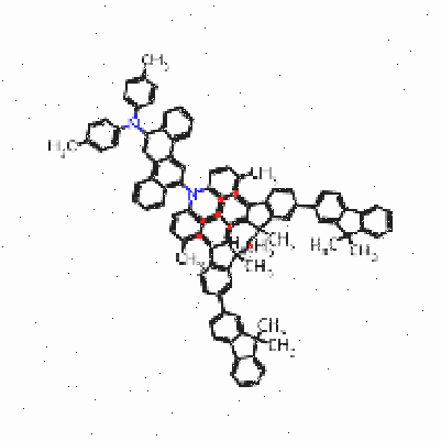 Cc1ccc(N(c2ccc(C)cc2)c2cc3c4ccccc4c(N(c4ccc(C)cc4-c4ccc5c(c4)C(C)(C)c4cc(-c6ccc7c(c6)C(C)(C)c6ccccc6-7)ccc4-5)c4ccc(C)cc4-c4ccc5c(c4)C(C)(C)c4cc(-c6ccc7c(c6)C(C)(C)c6ccccc6-7)ccc4-5)cc3c3ccccc23)cc1